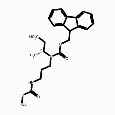 C[C@H](CC(=O)O)N(CCCNC(=O)OC(C)(C)C)C(=O)OCC1c2ccccc2-c2ccccc21